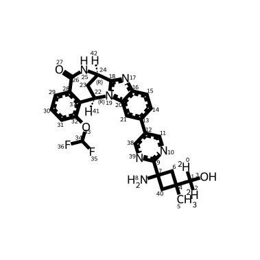 [2H]C([2H])(O)C1(C)CC(N)(c2ncc(-c3ccc4nc5n(c4c3)[C@@H]3C[C@H]5NC(=O)c4cccc(OC(F)F)c43)cn2)C1